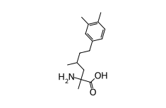 Cc1ccc(CCC(C)CC(C)(N)C(=O)O)cc1C